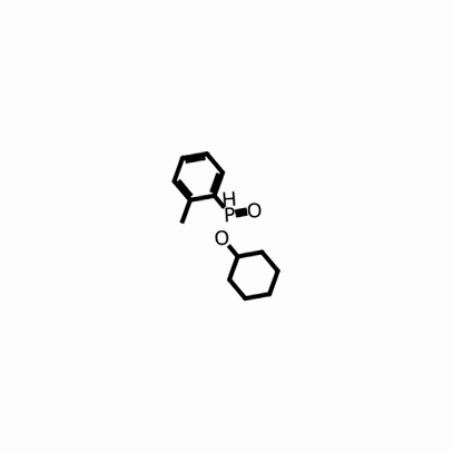 Cc1ccccc1[PH](=O)OC1CCCCC1